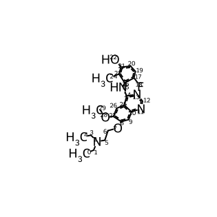 CCN(CC)CCOc1cc2ncnc(Nc3c(F)ccc(O)c3C)c2cc1OC